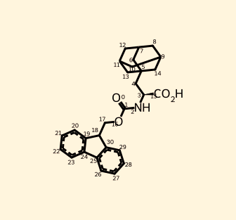 O=C(N[C@@H](CC12CC3CC(CC(C3)C1)C2)C(=O)O)OCC1c2ccccc2-c2ccccc21